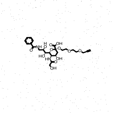 C#CCOCCOCCO[C@]1(C(=O)O)C[C@H](O)[C@@H](NC(=O)CO)[C@H]([C@H](O)[C@H](O)CNC(=O)c2ccccc2)O1